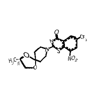 C[C@H]1COC2(CCN(c3nc(=O)c4cc(C(F)(F)F)cc([N+](=O)[O-])c4s3)CC2)O1